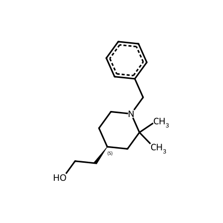 CC1(C)C[C@@H](CCO)CCN1Cc1ccccc1